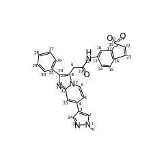 Cn1cc(-c2ccn3c(CC(=O)Nc4ccc5c(c4)S(=O)(=O)C=C5)c(-c4ccccc4)nc3c2)cn1